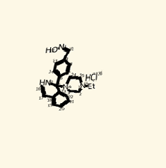 CCN1CCN(C2(c3ccc(/C=N\O)cc3)NC=Cc3ccccc32)CC1.Cl